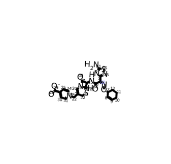 Nc1nc(/C(=N/OC2C=CCCC2)C(=O)NC2C(=O)N3C=C(C[n+]4ccc(C(=O)[O-])cc4)CS[C@H]23)ns1